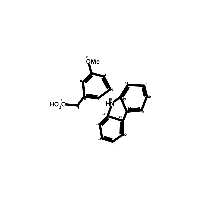 COc1cccc(CC(=O)O)c1.c1ccc2c(c1)[nH]c1ccccc12